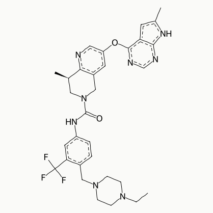 CCN1CCN(Cc2ccc(NC(=O)N3Cc4cc(Oc5ncnc6[nH]c(C)cc56)cnc4[C@H](C)C3)cc2C(F)(F)F)CC1